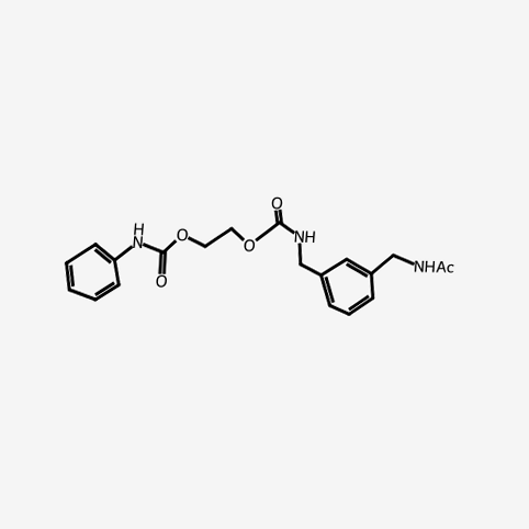 CC(=O)NCc1cccc(CNC(=O)OCCOC(=O)Nc2ccccc2)c1